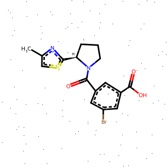 Cc1csc([C@H]2CCCN2C(=O)c2cc(Br)cc(C(=O)O)c2)n1